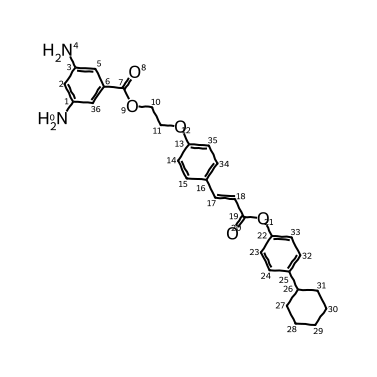 Nc1cc(N)cc(C(=O)OCCOc2ccc(/C=C/C(=O)Oc3ccc(C4CCCCC4)cc3)cc2)c1